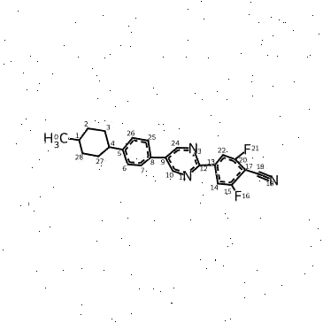 CC1CCC(c2ccc(-c3cnc(-c4cc(F)c(C#N)c(F)c4)nc3)cc2)CC1